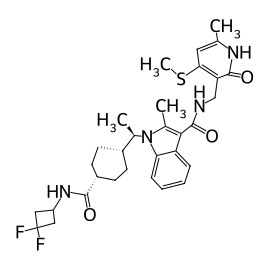 CSc1cc(C)[nH]c(=O)c1CNC(=O)c1c(C)n([C@H](C)[C@H]2CC[C@@H](C(=O)NC3CC(F)(F)C3)CC2)c2ccccc12